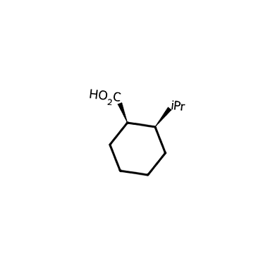 CC(C)[C@H]1CCCC[C@H]1C(=O)O